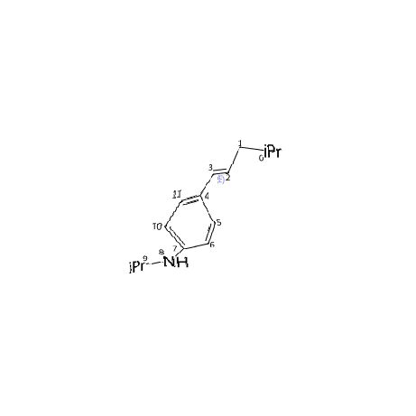 CC(C)C/C=C/c1ccc(NC(C)C)cc1